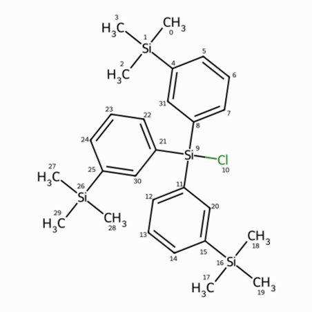 C[Si](C)(C)c1cccc([Si](Cl)(c2cccc([Si](C)(C)C)c2)c2cccc([Si](C)(C)C)c2)c1